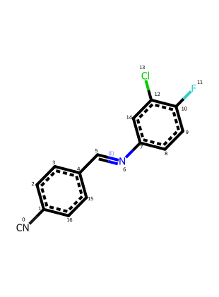 [C-]#[N+]c1ccc(/C=N/c2ccc(F)c(Cl)c2)cc1